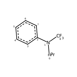 CCCN(c1ccccc1)C(F)(F)F